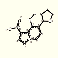 COc1c(C2CCCO2)ccn2ncc([N+](=O)[O-])c12